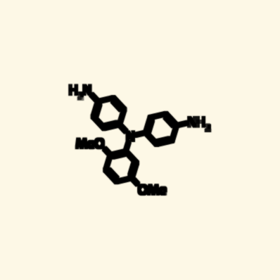 COc1ccc(OC)c(N(c2ccc(N)cc2)c2ccc(N)cc2)c1